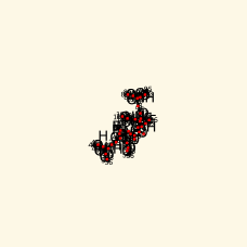 COc1cc(OC)c(C(=O)Nc2cc(C(F)(F)F)cc(NC(=O)CCCCN/C(=N\C(=O)OC(C)(C)C)NC(=O)OC(C)(C)C)c2SCCNC(=O)OC(C)(C)C)cc1C(=O)Nc1cc(C(F)(F)F)cc(NC(=O)CCCCC/C(=N\C(=O)OC(C)(C)C)NC(=O)OC(C)(C)C)c1SCCNC(=O)OC(C)(C)C